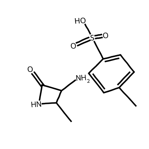 CC1NC(=O)C1N.Cc1ccc(S(=O)(=O)O)cc1